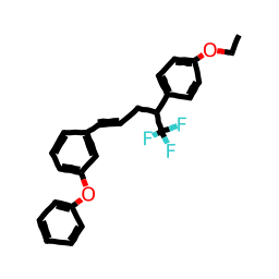 CCOc1ccc(C(CC=Cc2cccc(Oc3ccccc3)c2)C(F)(F)F)cc1